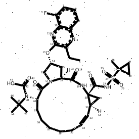 CCc1nc2cccc(F)c2nc1O[C@@H]1C[C@H]2C(=O)N[C@]3(C(=O)NS(=O)(=O)C4(C)CC4)C[C@H]3C=CCCCCC[C@H](N(C(=O)O)C(C)(C)C)C(=O)N2C1